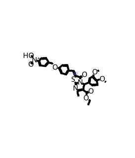 CCOC(=O)C1=C(C)N=c2s/c(=C\c3ccc(OCc4ccc([N+](=O)O)cc4)cc3)c(=O)n2C1c1ccc(OC)c(OC)c1